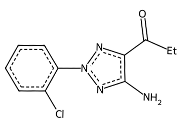 CCC(=O)c1nn(-c2ccccc2Cl)nc1N